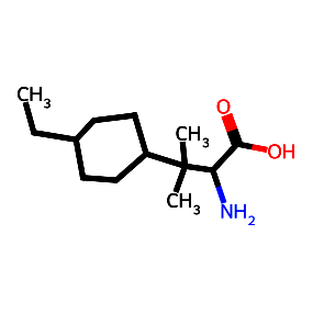 CCC1CCC(C(C)(C)C(N)C(=O)O)CC1